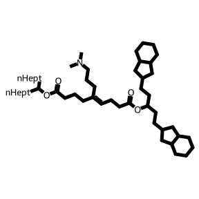 CCCCCCCC(CCCCCCC)OC(=O)CCC/C(=C/CCC(=O)OC(CCC1CC2CCCCC2C1)CCC1CC2CCCCC2C1)CCCN(C)C